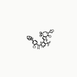 O=C1c2sc(-c3nc(Nc4ccc(N5CC6CC(C5)N6)cc4Cl)ncc3C(F)(F)F)cc2S(=O)(=O)CCN1C1COC1